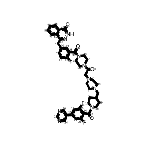 O=C(CN1CCN(CC2CCN(C(=O)c3c(F)cc(-c4cncnc4)cc3F)CC2)CC1)N1CCN(C(=O)c2cc(Cc3n[nH]c(=O)c4ccccc34)ccc2F)CC1